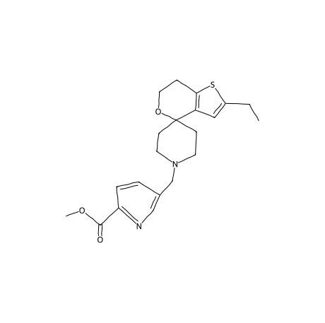 CCc1cc2c(s1)CCOC21CCN(Cc2ccc(C(=O)OC)nc2)CC1